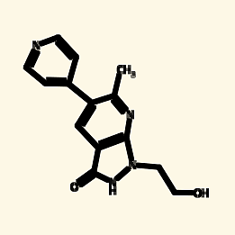 Cc1nc2c(cc1-c1ccncc1)c(=O)[nH]n2CCO